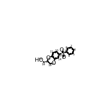 O=S(=O)(c1ccccc1)c1ccc2c(c1)OC[C@@H](CO)O2